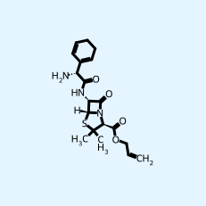 C=CCOC(=O)[C@@H]1N2C(=O)[C@@H](NC(=O)[C@H](N)C3=CCCC=C3)[C@H]2SC1(C)C